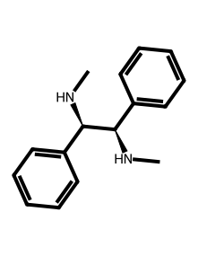 CN[C@H](c1ccccc1)[C@H](NC)c1ccccc1